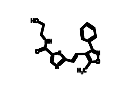 Cc1onc(-c2ccccc2)c1/C=C/c1ncc(C(=O)NCCO)s1